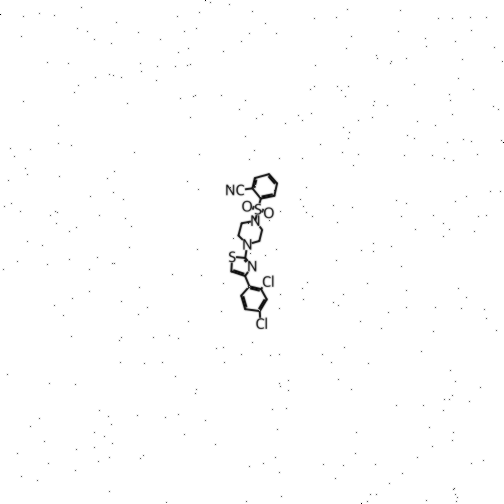 N#Cc1ccccc1S(=O)(=O)N1CCN(c2nc(-c3ccc(Cl)cc3Cl)cs2)CC1